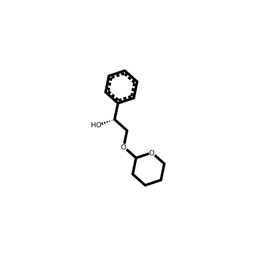 O[C@@H](COC1CCCCO1)c1ccccc1